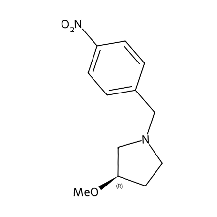 CO[C@@H]1CCN(Cc2ccc([N+](=O)[O-])cc2)C1